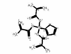 C=C(C)C(=O)[O][Ti]([O]C(=O)C(=C)C)([O]C(=O)C(=C)C)[C]1=CC=CC1